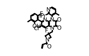 C=CC(=O)N1CC(F)(Cn2c(=O)c(=O)n(-c3c(C)ccnc3C(C)C)c3nc(-c4c(F)ccc(C)c4O)c(Cl)cc32)C1